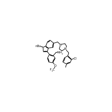 CCCCn1cc(-c2ccc(OC(F)(F)F)cc2CN)c2cc(CN3CCN(Cc4ccc(C)cc4Cl)CC3)ccc21